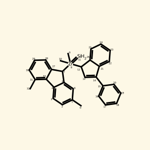 Cc1ccc2c(c1)[CH]([Zr]([CH3])([CH3])(=[SiH2])[CH]1C=C(c3ccccc3)c3ccccc31)c1cccc(C)c1-2